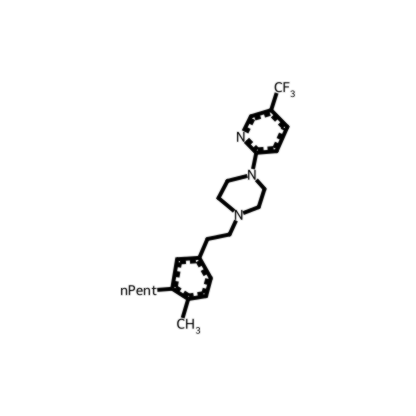 CCCCCc1cc(CCN2CCN(c3ccc(C(F)(F)F)cn3)CC2)ccc1C